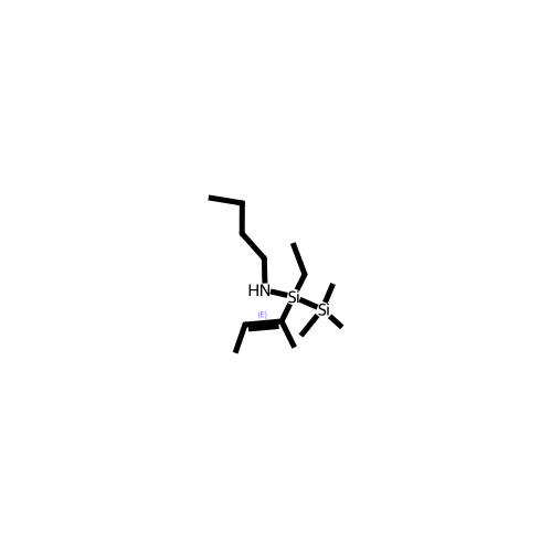 C/C=C(\C)[Si](CC)(NCCCC)[Si](C)(C)C